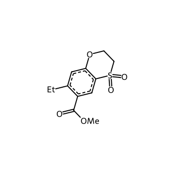 CCc1cc2c(cc1C(=O)OC)S(=O)(=O)CCO2